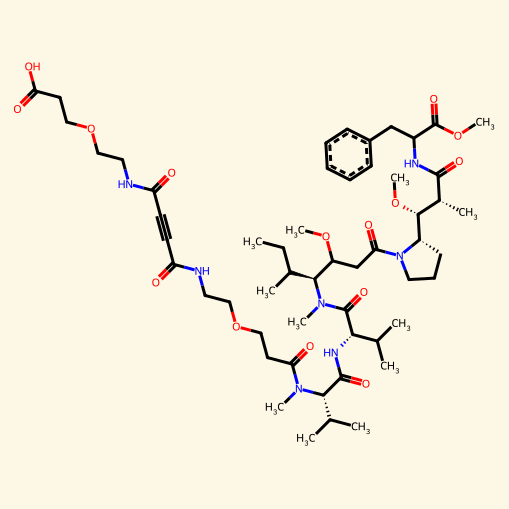 CCC(C)[C@@H](C(CC(=O)N1CCC[C@H]1[C@H](OC)[C@@H](C)C(=O)NC(Cc1ccccc1)C(=O)OC)OC)N(C)C(=O)[C@@H](NC(=O)[C@H](C(C)C)N(C)C(=O)CCOCCNC(=O)C#CC(=O)NCCOCCC(=O)O)C(C)C